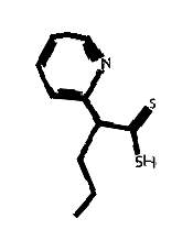 CCCC(C(=S)S)c1ccccn1